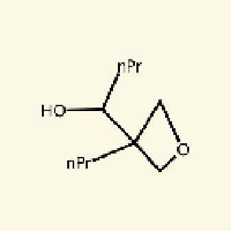 CCCC(O)C1(CCC)COC1